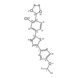 CC(C)Oc1ccc(-c2cnc(-c3ccc(C4OCCO4)c(Cl)c3)s2)cc1